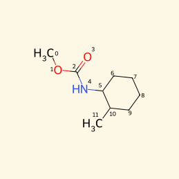 COC(=O)NC1CCCCC1C